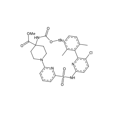 COC(=O)C1(NC(=O)OC(C)(C)C)CCN(c2cccc(S(=O)(=O)Nc3ccc(Cl)c(-c4c(C)cccc4C)n3)n2)CC1